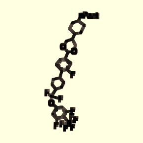 CCCCCC1CCC(C2COC(c3ccc(C4CCC(C(F)(F)Oc5cc(F)c(S(F)(F)(F)(F)F)c(F)c5)CC4)c(F)c3)OC2)CC1